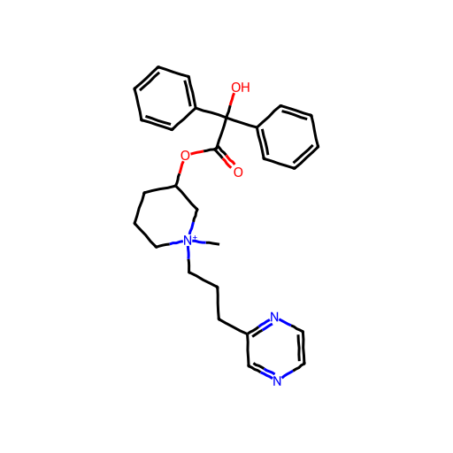 C[N+]1(CCCc2cnccn2)CCCC(OC(=O)C(O)(c2ccccc2)c2ccccc2)C1